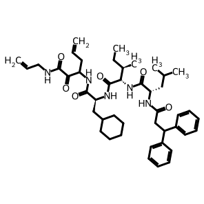 C=CCNC(=O)C(=O)C(CC=C)NC(=O)[C@H](CC1CCCCC1)NC(=O)[C@@H](NC(=O)[C@H](CC(C)C)NC(=O)CC(c1ccccc1)c1ccccc1)[C@H](C)CC